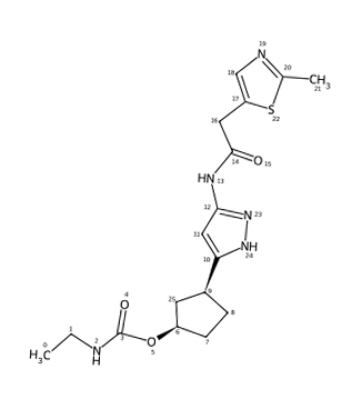 CCNC(=O)O[C@@H]1CC[C@H](c2cc(NC(=O)Cc3cnc(C)s3)n[nH]2)C1